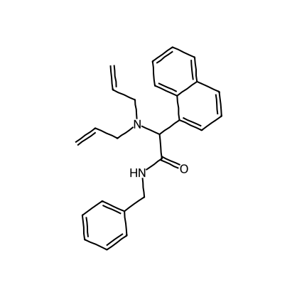 C=CCN(CC=C)C(C(=O)NCc1ccccc1)c1cccc2ccccc12